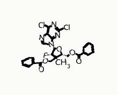 C[C@]1(COC(=O)c2ccccc2)[C@H](F)[C@H](n2cnc3c(Cl)nc(Cl)nc32)O[C@@H]1COC(=O)c1ccccc1